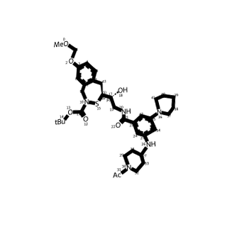 COCOc1ccc2c(c1)CN(C(=O)OC(C)(C)C)S[C@H]([C@H](O)CNC(=O)c1cc(NC3CCN(C(C)=O)CC3)cc(N3CCCCC3)c1)C2